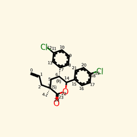 C=CC[C@@]1(C)C[C@H](c2cccc(Cl)c2)C(c2ccc(Cl)cc2)OC1=O